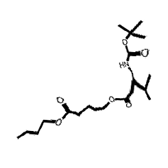 CCCCOC(=O)CCCOC(=O)[C@@H](NC(=O)OC(C)(C)C)C(C)C